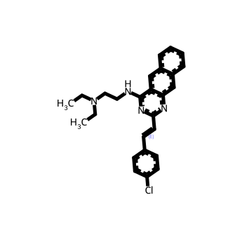 CCN(CC)CCNc1nc(/C=C/c2ccc(Cl)cc2)nc2cc3ccccc3cc12